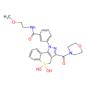 COCCNC(=O)c1cccc(-n2nc(C(=O)N3CCOCC3)c3c2-c2ccccc2S(O)(O)C3)c1